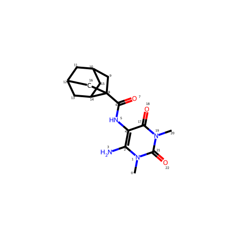 Cn1c(N)c(NC(=O)C23CC4CC(CC2C4)C3)c(=O)n(C)c1=O